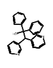 OC(c1ccccc1)(c1ccccc1)C(c1cccnc1)c1cccnc1